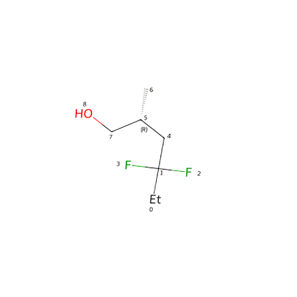 CCC(F)(F)C[C@@H](C)CO